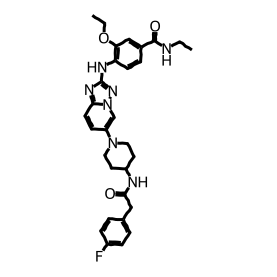 CCNC(=O)c1ccc(Nc2nc3ccc(N4CCC(NC(=O)Cc5ccc(F)cc5)CC4)cn3n2)c(OCC)c1